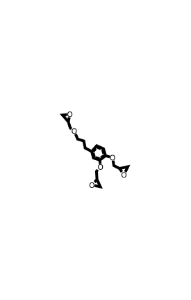 c1cc(OCC2CO2)c(OCC2CO2)cc1CCCOCC1CO1